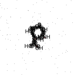 CNC(=O)C[C@@H]1NC(=O)c2csc(n2)-c2ccc(-c3nc(N(CCCC(=O)O)C(=O)OC4CC(C(=O)O)C4)cs3)nc2-c2csc(n2)-c2csc(n2)[C@H]([C@@H](O)c2ccccc2)NC(=O)CNC(=O)c2nc(sc2COC)C(C(C)C)NC(=O)c2nc1sc2C